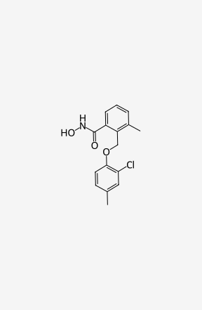 Cc1ccc(OCc2c(C)cccc2C(=O)NO)c(Cl)c1